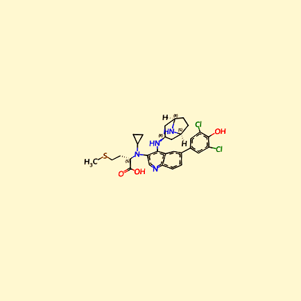 CSCC[C@@H](C(=O)O)N(c1cnc2ccc(-c3cc(Cl)c(O)c(Cl)c3)cc2c1N[C@H]1C[C@H]2CC[C@@H](C1)N2)C1CC1